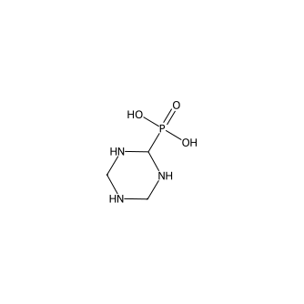 O=P(O)(O)C1NCNCN1